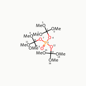 COC(OC)(OC)OP(=O)(OC(OC)(OC)OC)OC(OC)(OC)OC